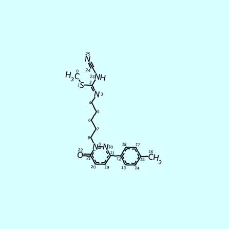 CSC(=NCCCCCn1nc(-c2ccc(C)cc2)ccc1=O)NC#N